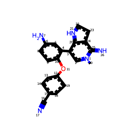 Cn1cc(-c2cc(N)ccc2Oc2ccc(C#N)cc2)c2[nH]ccc2c1=N